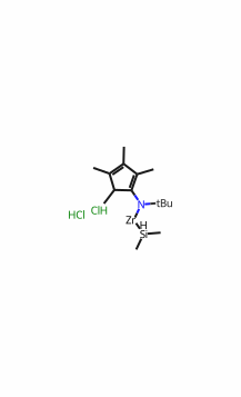 CC1=C(C)C(C)C([N]([Zr][SiH](C)C)C(C)(C)C)=C1C.Cl.Cl